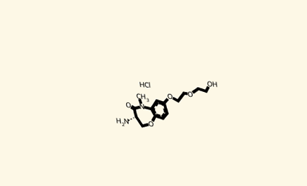 CN1C(=O)[C@@H](N)COc2ccc(OCCOCCO)cc21.Cl